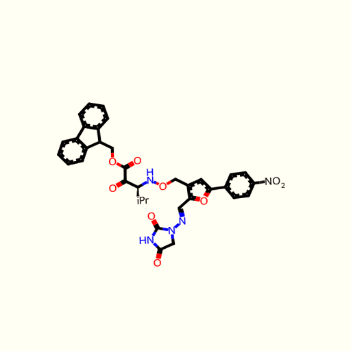 CC(C)[C@H](NOCc1cc(-c2ccc([N+](=O)[O-])cc2)oc1/C=N/N1CC(=O)NC1=O)C(=O)C(=O)OCC1c2ccccc2-c2ccccc21